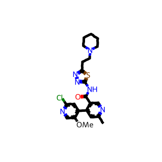 COc1cnc(Cl)cc1-c1cc(C)ncc1C(=O)Nc1nnc(CCN2CCCCC2)s1